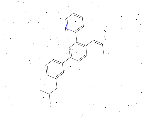 C/C=C\c1ccc(-c2cccc(CC(C)C)c2)cc1-c1ccccn1